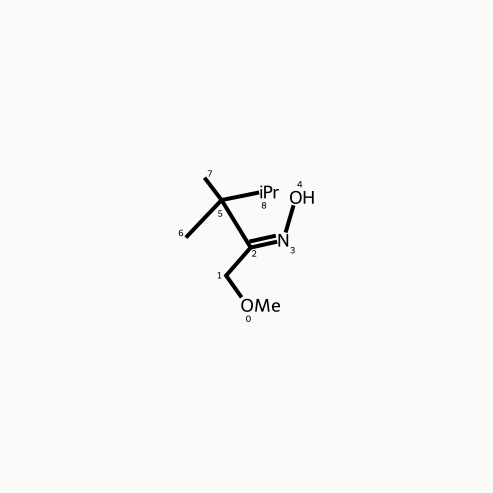 COCC(=NO)C(C)(C)C(C)C